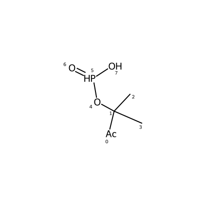 CC(=O)C(C)(C)O[PH](=O)O